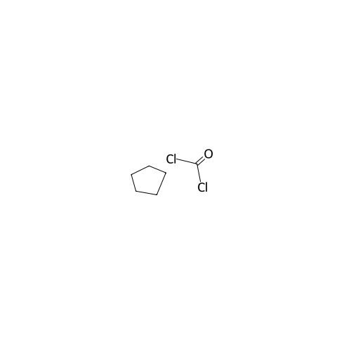 C1CCCC1.O=C(Cl)Cl